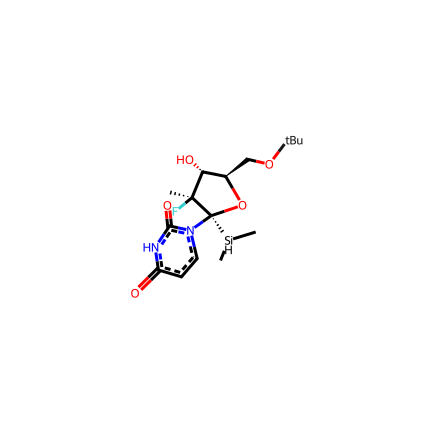 C[SiH](C)[C@@]1(n2ccc(=O)[nH]c2=O)O[C@H](COC(C)(C)C)[C@@H](O)[C@]1(C)F